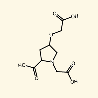 O=C(O)COC1CC(C(=O)O)N(CC(=O)O)C1